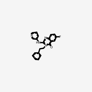 O=c1c2cc(F)ccc2nc(Nc2cccnc2)n1CCc1ccccc1